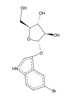 OC[C@@H]1O[C@@H](Oc2c[nH]c3ccc(Br)cc23)[C@H](O)[C@H]1O